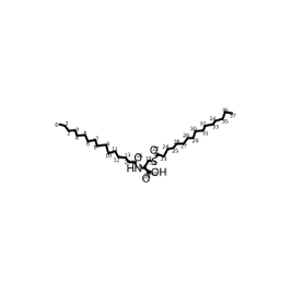 CCCCCCCCCCCCCCCC(=O)NC(CSC(=O)CCCCCCCCCCCCCCC)C(=O)O